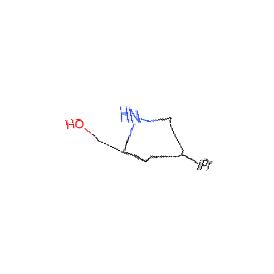 CC(C)C1CNC(CO)C1